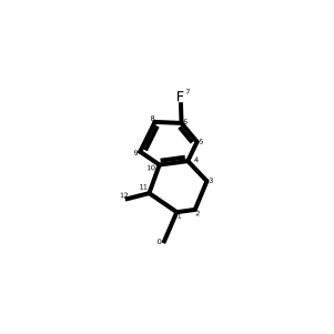 CC1CCc2cc(F)ccc2C1C